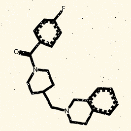 O=C(c1ccc(F)cc1)N1CCC(CN2CCc3ccccc3C2)CC1